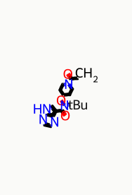 C=CC(=O)N1CCC(ON(C(=O)c2c[nH]c3nccnc23)C(C)(C)C)CC1